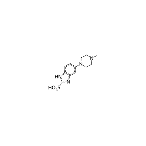 CN1CCN(c2ccc3[nH]c(S(=O)(=O)O)nc3c2)CC1